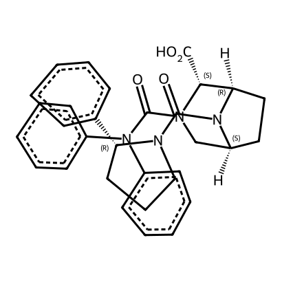 O=C(O)[C@@H]1[C@H]2CC[C@@H](CN1C(=O)N(c1ccccc1)c1ccccc1)N2C(=O)N1CCC[C@@H]1c1ccccc1